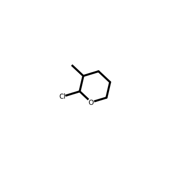 CC1CCCOC1Cl